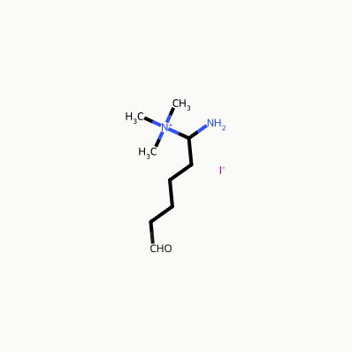 C[N+](C)(C)C(N)CCCCC=O.[I-]